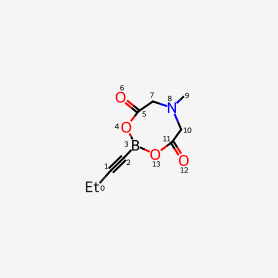 CCC#CB1OC(=O)CN(C)CC(=O)O1